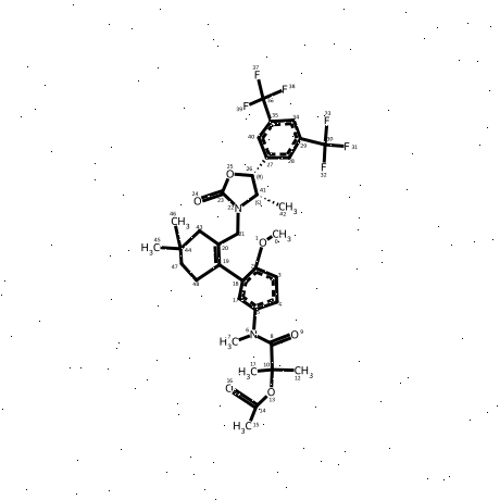 COc1ccc(N(C)C(=O)C(C)(C)OC(C)=O)cc1C1=C(CN2C(=O)O[C@H](c3cc(C(F)(F)F)cc(C(F)(F)F)c3)[C@@H]2C)CC(C)(C)CC1